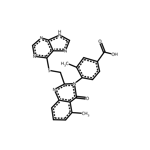 Cc1cc(C(=O)O)ccc1-n1c(CSc2ncnc3[nH]cnc23)nc2cccc(C)c2c1=O